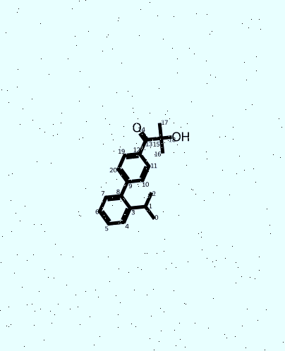 CC(C)c1ccccc1-c1ccc(C(=O)C(C)(C)O)cc1